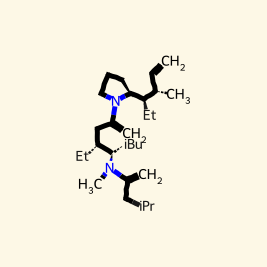 C=C[C@H](C)[C@@H](CC)[C@@H]1CCCN1C(=C)C[C@@H](CC)[C@H]([C@@H](C)CC)N(C)C(=C)CC(C)C